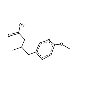 COc1ccc(CC(C)CC(=O)O)cn1